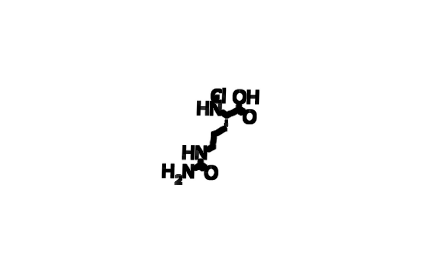 NC(=O)NCCC[C@H](NCl)C(=O)O